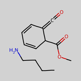 CCCCN.COC(=O)C1C=CC=CC1=C=O